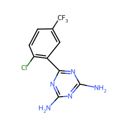 Nc1nc(N)nc(-c2cc(C(F)(F)F)ccc2Cl)n1